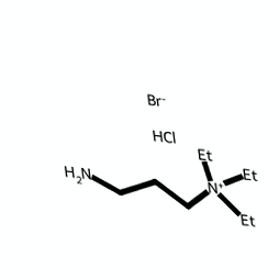 CC[N+](CC)(CC)CCCN.Cl.[Br-]